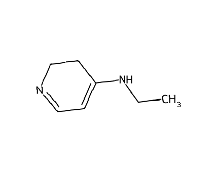 CCNC1=CC=NCC1